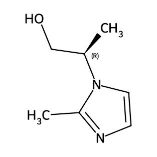 Cc1nccn1[C@H](C)CO